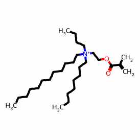 C=C(C)C(=O)OCC[N+](CCCC)(CCCCCCCC)CCCCCCCCCCCC